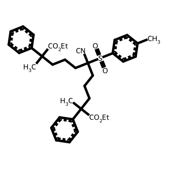 [C-]#[N+]C(CCCC(C)(C(=O)OCC)c1ccccc1)(CCCC(C)(C(=O)OCC)c1ccccc1)S(=O)(=O)c1ccc(C)cc1